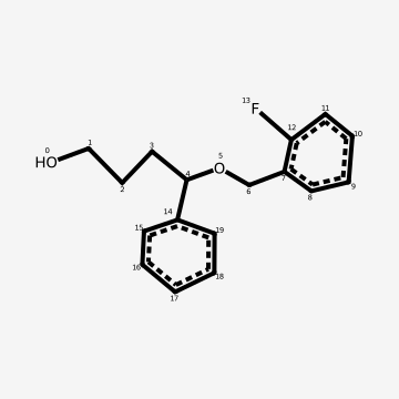 OCCCC(OCc1ccccc1F)c1ccccc1